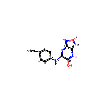 CCCCCCc1ccc(Nc2nc3nonc3nc2O)cc1